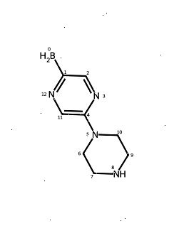 Bc1cnc(N2CCNCC2)cn1